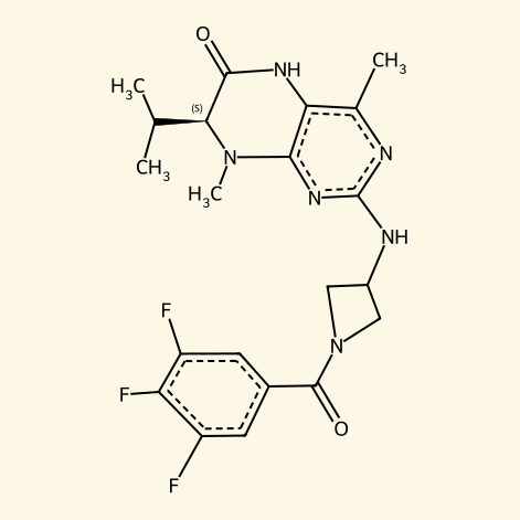 Cc1nc(NC2CN(C(=O)c3cc(F)c(F)c(F)c3)C2)nc2c1NC(=O)[C@H](C(C)C)N2C